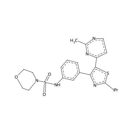 Cc1nccc(-c2sc(C(C)C)nc2-c2cccc(NS(=O)(=O)N3CCOCC3)c2)n1